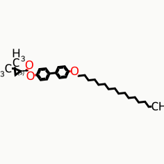 CCCCCCCCCCCCCCCCOc1ccc(-c2ccc(OC(=O)[C@H]3CC3(C)C)cc2)cc1